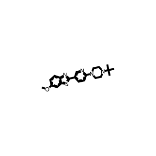 COc1ccc2nc(-c3ccc(N4CCN(C(C)(C)C)CC4)nc3)sc2c1